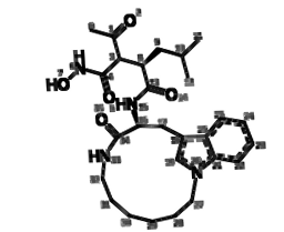 CC(=O)C(C(=O)NO)[C@@H](CC(C)C)C(=O)N[C@H]1Cc2cn(c3ccccc23)CCCCCCNC1=O